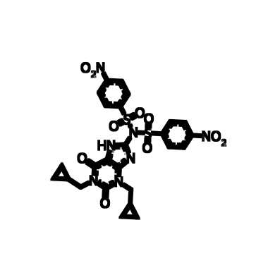 O=c1c2[nH]c(N(S(=O)(=O)c3ccc([N+](=O)[O-])cc3)S(=O)(=O)c3ccc([N+](=O)[O-])cc3)nc2n(CC2CC2)c(=O)n1CC1CC1